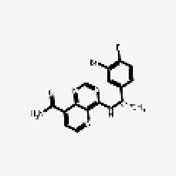 C[C@H](Nc1ncnc2c(C(N)=O)ccnc12)c1ccc(F)c(Br)c1